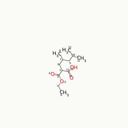 CCOC(=O)C(CC(C)CC(C)C)C(=O)O